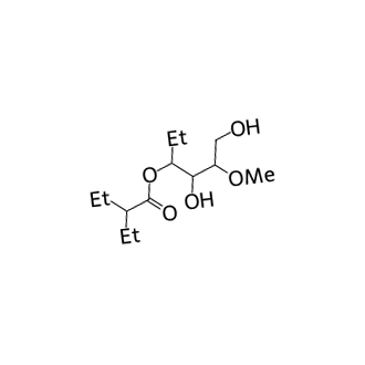 CCC(CC)C(=O)OC(CC)C(O)C(CO)OC